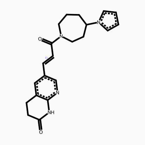 O=C1CCc2cc(/C=C/C(=O)N3CCCC(n4cccc4)CC3)cnc2N1